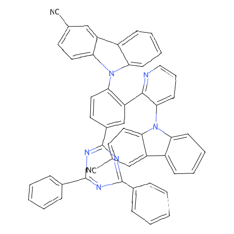 N#Cc1ccc2c(c1)c1ccccc1n2-c1ccc(-c2nc(-c3ccccc3)nc(-c3ccccc3)n2)cc1-c1ncccc1-n1c2ccccc2c2cc(C#N)ccc21